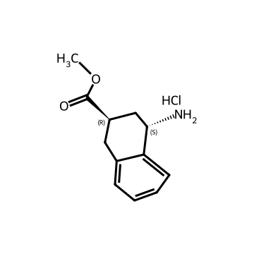 COC(=O)[C@@H]1Cc2ccccc2[C@@H](N)C1.Cl